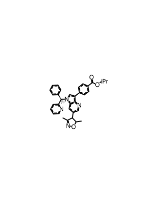 CC1=NOC(C)C1c1cnc2c(-c3ccc(C(=O)OC(C)C)cc3)cn([C@H](c3ccccc3)c3ccccn3)c2c1